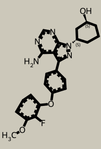 COc1cccc(Oc2ccc(-c3nn([C@H]4CCC[C@H](O)C4)c4ncnc(N)c34)cc2)c1F